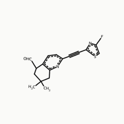 CC1(C)Cc2nc(C#Cc3nc(F)cs3)ccc2C(C=O)C1